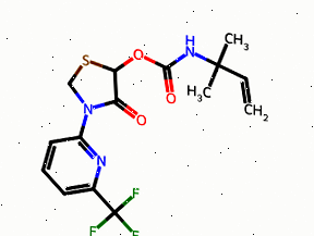 C=CC(C)(C)NC(=O)OC1SCN(c2cccc(C(F)(F)F)n2)C1=O